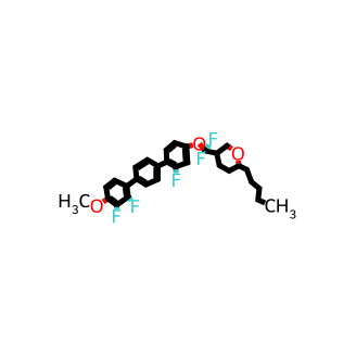 CCCCCC1CCC(C(F)(F)Oc2ccc(-c3ccc(-c4ccc(OC)c(F)c4F)cc3)c(F)c2)CO1